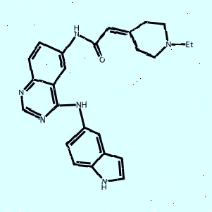 CCN1CCC(=CC(=O)Nc2ccc3ncnc(Nc4ccc5[nH]ccc5c4)c3c2)CC1